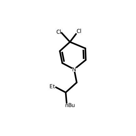 CCCCC(CC)CN1C=CC(Cl)(Cl)C=C1